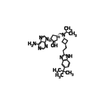 CC(C)N(C[C@@H]1C[C@@H](O)[C@H](n2cnc3c(N)ncnc32)C1)[C@H]1C[C@H](CCc2nc3cc(C(C)(C)C)ccc3[nH]2)C1